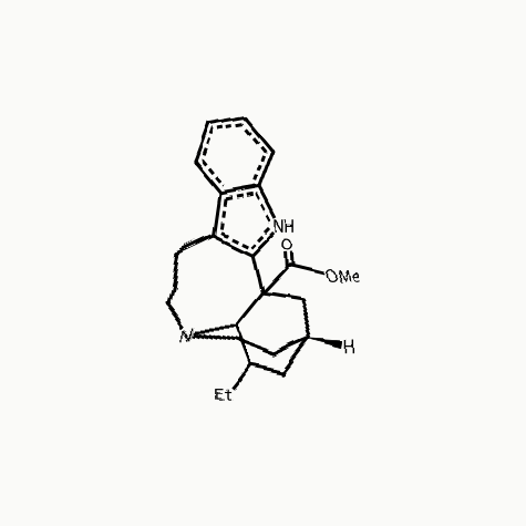 CCC1C[C@@H]2CN3CCc4c([nH]c5ccccc45)C(C(=O)OC)(C2)C13